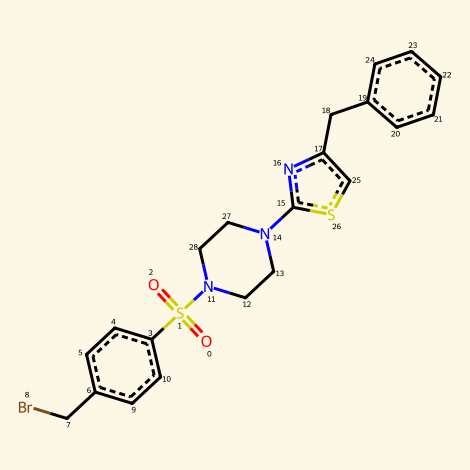 O=S(=O)(c1ccc(CBr)cc1)N1CCN(c2nc(Cc3ccccc3)cs2)CC1